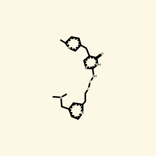 Cc1ccc(Cc2cnc(NCCCCc3cc(CN(C)C)ccn3)[nH]c2=O)cn1